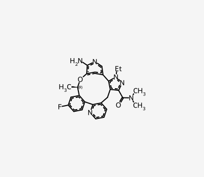 CCn1nc(C(=O)N(C)C)c2c1-c1cnc(N)c(c1)O[C@H](C)c1cc(F)ccc1-c1ncccc1C2